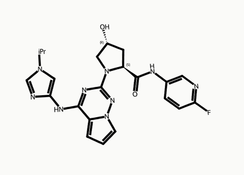 CC(C)n1cnc(Nc2nc(N3C[C@H](O)C[C@H]3C(=O)Nc3ccc(F)nc3)nn3cccc23)c1